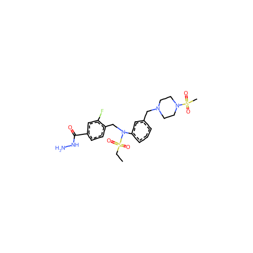 CCS(=O)(=O)N(Cc1ccc(C(=O)NN)cc1F)c1cccc(CN2CCN(S(C)(=O)=O)CC2)c1